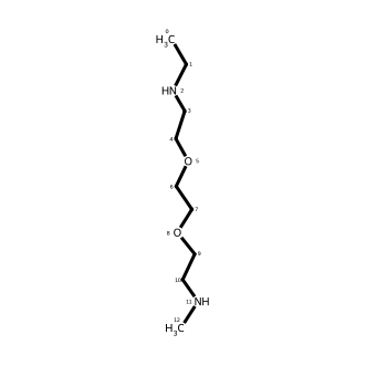 CCNCCOCCOCCNC